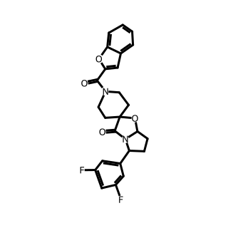 O=C(c1cc2ccccc2o1)N1CCC2(CC1)OC1CCC(c3cc(F)cc(F)c3)N1C2=O